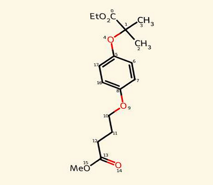 CCOC(=O)C(C)(C)Oc1ccc(OCCCC(=O)OC)cc1